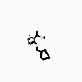 CC(O)n1nnnc1SCc1ccccc1